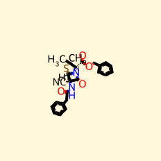 CC1(C)S[C@H]2N(C(=O)[C@@]2(C#N)NC(=O)Cc2ccccc2)[C@H]1C(=O)OCc1ccccc1